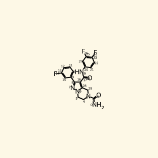 NC(=O)N1CCn2nc(-c3cccc(F)c3)c(C(=O)Nc3ccc(F)c(F)c3)c2C1